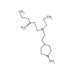 C=C(CCC)CCN(CCC)CCC1CCN(C)CC1